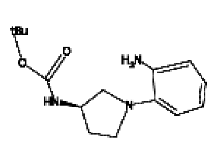 CC(C)(C)OC(=O)N[C@@H]1CCN(c2ccccc2N)C1